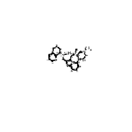 CCOCc1c(CN(C)[C@H]2CCCc3cccnc32)nc2cccc(N3CCN(C)CC3)n12